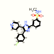 CNS(=O)(=O)c1cccc(-c2nc(-c3ccc(F)cc3)c(-c3ccncc3)[nH]2)c1